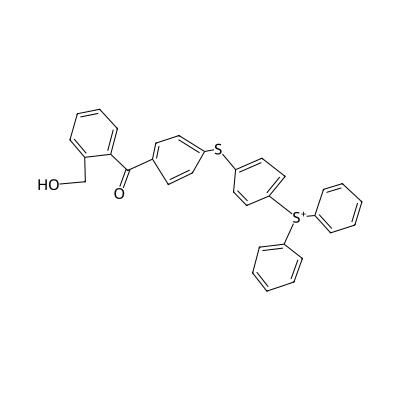 O=C(c1ccc(Sc2ccc([S+](c3ccccc3)c3ccccc3)cc2)cc1)c1ccccc1CO